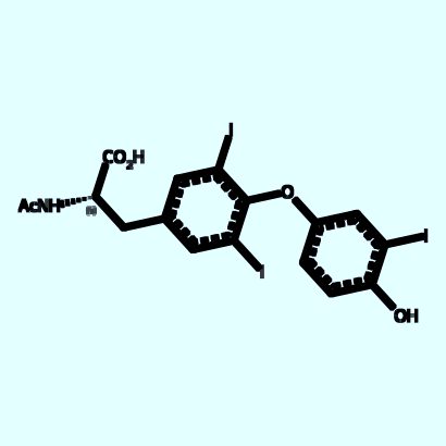 CC(=O)N[C@@H](Cc1cc(I)c(Oc2ccc(O)c(I)c2)c(I)c1)C(=O)O